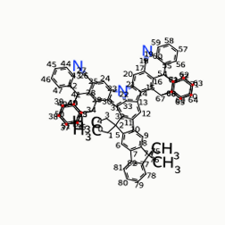 CCC1(CC)c2cc3c(cc2-c2cc4c5c6c(c(C#N)cc5n5c7cc(C#N)c8c(c7c(c21)c45)C1c2ccccc2C8(c2ccccc2)c2ccccc21)C1(c2ccccc2)c2ccccc2C6c2ccccc21)C(C)(C)c1ccccc1-3